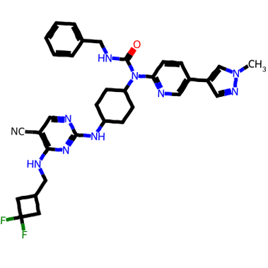 Cn1cc(-c2ccc(N(C(=O)NCc3ccccc3)C3CCC(Nc4ncc(C#N)c(NCC5CC(F)(F)C5)n4)CC3)nc2)cn1